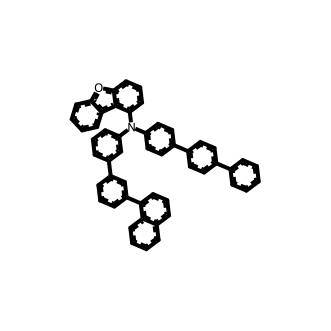 c1ccc(-c2ccc(-c3ccc(N(c4cccc(-c5cccc(-c6cccc7ccccc67)c5)c4)c4cccc5oc6ccccc6c45)cc3)cc2)cc1